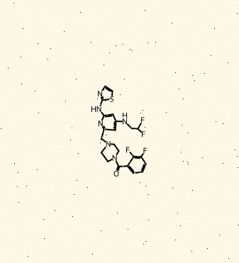 O=C(c1cccc(F)c1F)N1CCN(Cc2cc(NCC(F)F)cc(Nc3nccs3)n2)CC1